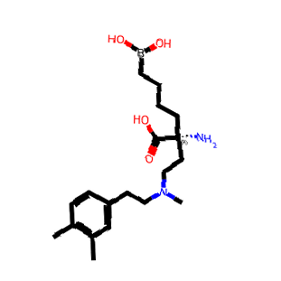 Cc1ccc(CCN(C)CC[C@](N)(CCCCB(O)O)C(=O)O)cc1C